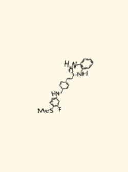 CSc1ccc(NCc2ccc(/C=C/C(=O)Nc3ccccc3N)cc2)cc1F